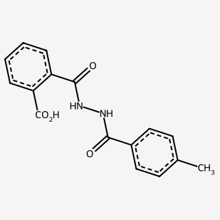 Cc1ccc(C(=O)NNC(=O)c2ccccc2C(=O)O)cc1